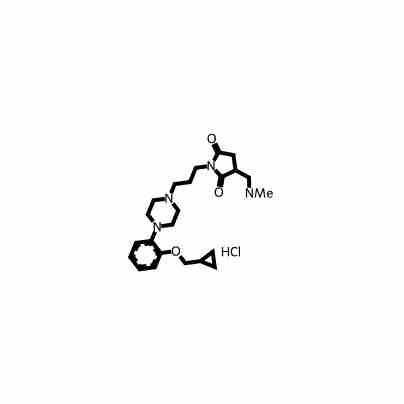 CNCC1CC(=O)N(CCCN2CCN(c3ccccc3OCC3CC3)CC2)C1=O.Cl